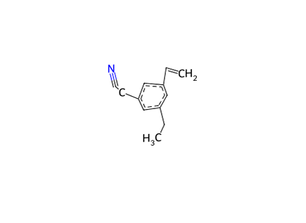 C=Cc1cc(CC)cc(CC#N)c1